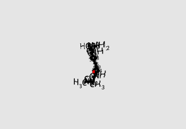 CN(C)CCN(C)CC(=O)Nc1ccc(C#Cc2ccc(C(=O)N[C@@H](CN)C(=O)NO)cc2)cc1